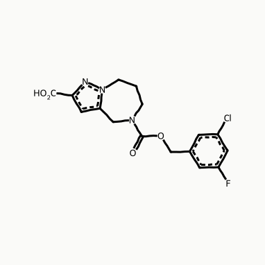 O=C(O)c1cc2n(n1)CCCN(C(=O)OCc1cc(F)cc(Cl)c1)C2